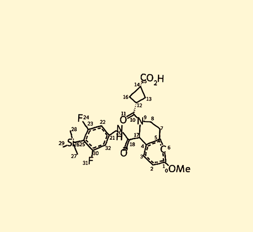 COc1ccc2c(c1)CCN(C(=O)[C@H]1C[C@@H](C(=O)O)C1)C2C(=O)Nc1cc(F)c([Si](C)(C)C)c(F)c1